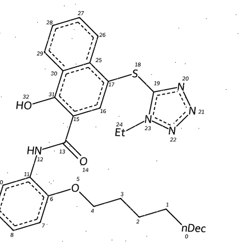 CCCCCCCCCCCCCCOc1ccccc1NC(=O)c1cc(Sc2nnnn2CC)c2ccccc2c1O